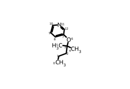 CCCC(C)(C)Oc1cccnc1